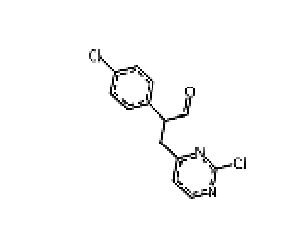 O=CC(Cc1ccnc(Cl)n1)c1ccc(Cl)cc1